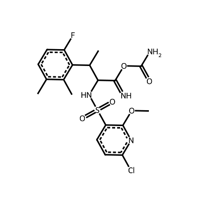 COc1nc(Cl)ccc1S(=O)(=O)NC(C(=N)OC(N)=O)C(C)c1c(F)ccc(C)c1C